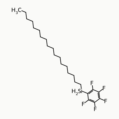 CCCCCCCCCCCCCCCCCC[SiH2]c1c(F)c(F)c(F)c(F)c1F